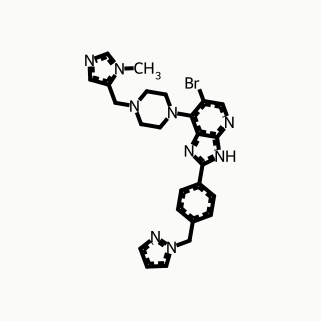 Cn1cncc1CN1CCN(c2c(Br)cnc3[nH]c(-c4ccc(Cn5cccn5)cc4)nc23)CC1